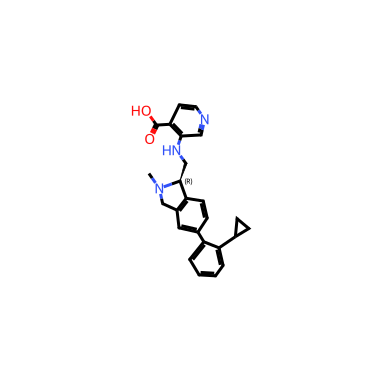 CN1Cc2cc(-c3ccccc3C3CC3)ccc2[C@@H]1CNc1cnccc1C(=O)O